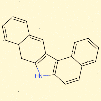 C1=CC2=Cc3c([nH]c4ccc5ccccc5c34)CC2C=C1